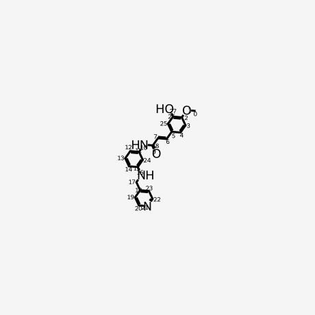 COc1ccc(C=CC(=O)Nc2cccc(NCc3ccncc3)c2)cc1O